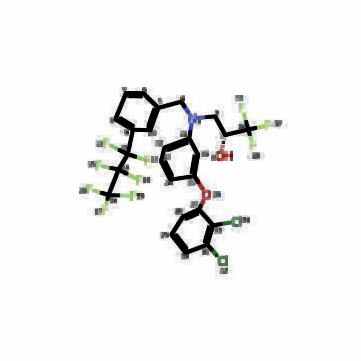 O[C@H](CN(Cc1cccc(C(F)(F)C(F)(F)C(F)(F)F)c1)c1cccc(Oc2cccc(Cl)c2Cl)c1)C(F)(F)F